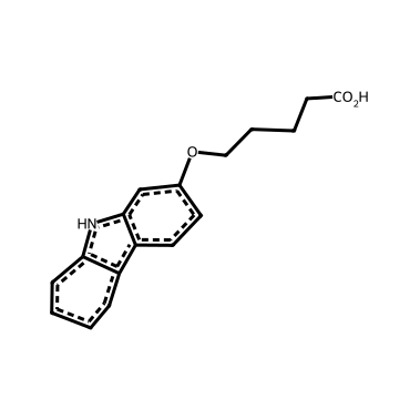 O=C(O)CCCCOc1ccc2c(c1)[nH]c1ccccc12